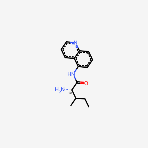 CCC(C)[C@H](N)C(=O)Nc1cccc2ncccc12